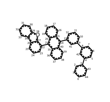 c1ccc(-c2cccc(-c3cccc(-c4c5ccccc5c(-c5cccc6c5oc5ccccc56)c5ccccc45)c3)c2)cc1